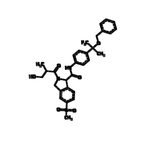 CC(CO)C(=O)N1Cc2cc(S(C)(=O)=O)ccc2C1C(=O)Nc1ccc(C(C)(OCc2ccccc2)C(F)(F)F)cc1